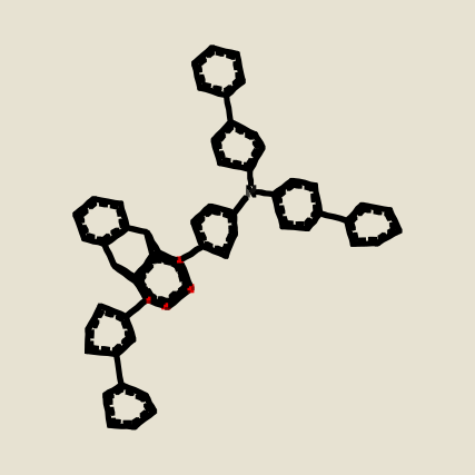 c1ccc(-c2ccc(N(c3ccc(-c4ccccc4)cc3)c3ccc(-c4ccc(-c5cccc(-c6ccccc6)c5)c5c4C4c6ccccc6C5c5ccccc54)cc3)cc2)cc1